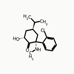 CN[C@@]1(c2ccccc2Cl)C[C@H](C(C)C)C[C@@H](O)C1=O